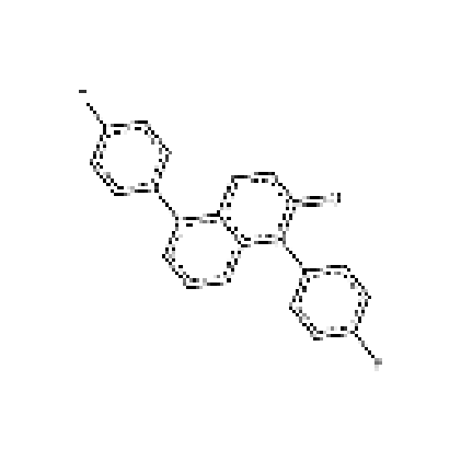 O=c1ccc2c(-c3ccc(F)cc3)cccc2n1-c1ccc(F)cc1